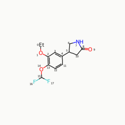 CCOc1cc(C2CNC(=O)C2)ccc1OC(F)F